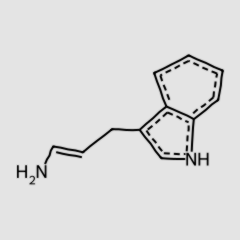 NC=CCc1c[nH]c2ccccc12